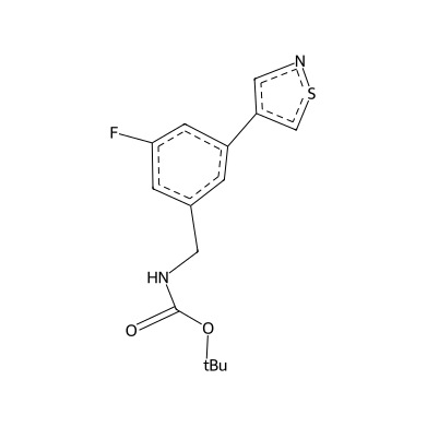 CC(C)(C)OC(=O)NCc1cc(F)cc(-c2cnsc2)c1